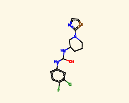 OC(Nc1ccc(F)c(Cl)c1)NC1CCCN(c2nccs2)C1